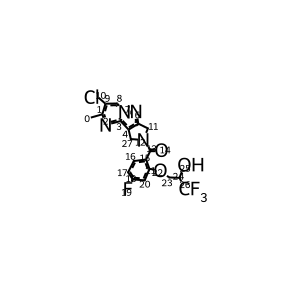 Cc1nc2c3c(nn2cc1Cl)CN(C(=O)c1ccc(F)cc1OCC(O)C(F)(F)F)C3